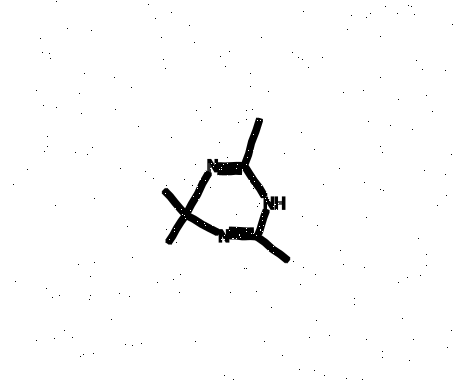 CC1=NC(C)(C)N=C(C)N1